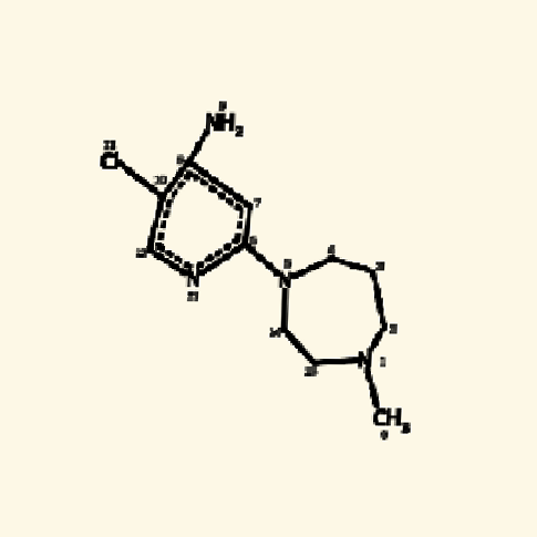 CN1CCCN(c2cc(N)c(Cl)cn2)CC1